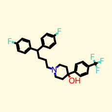 OC1(c2ccc(C(F)(F)F)cc2)CCN(CCCC(c2ccc(F)cc2)c2ccc(F)cc2)CC1